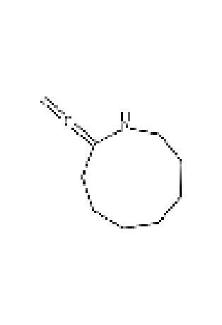 C=C=C1CCCCCCCP1